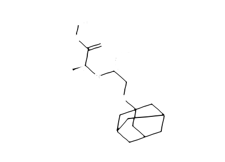 CCOC(=O)[C@H](CSC12CC3CC(CC(C3)C1)C2)N[C@@H](C)C(=O)OC(C)(C)C